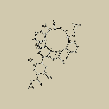 C=CC(=O)N1C[C@H](C)N(c2nc(=O)n3c4nc(c(F)cc24)-c2c(F)cccc2N(CC2CC2)CCC(=O)N(C)c2ccnc(C(C)C)c2-3)C[C@H]1C